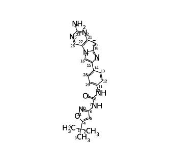 CC(C)(C)c1cc(NC(=O)Nc2ccc(-c3cn4c(n3)sc3nc(N)ncc34)cc2)no1